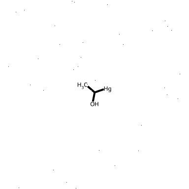 C[CH](O)[Hg]